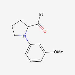 CCC(=O)C1CCCN1c1cccc(OC)c1